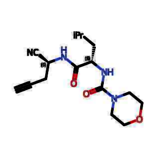 C#CC[C@@H](C#N)NC(=O)[C@H](CC(C)C)NC(=O)N1CCOCC1